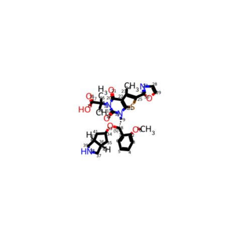 COc1ccccc1[C@@H](Cn1c(=O)n(C(C)(C)C(=O)O)c(=O)c2c(C)c(-c3ncco3)sc21)OC1C[C@@H]2CNC[C@H]2C1